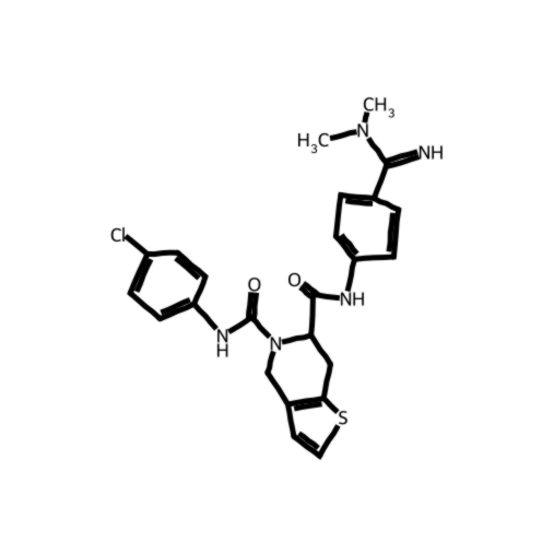 CN(C)C(=N)c1ccc(NC(=O)C2Cc3sccc3CN2C(=O)Nc2ccc(Cl)cc2)cc1